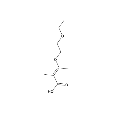 CCOCCO/C(C)=C(\C)C(=O)O